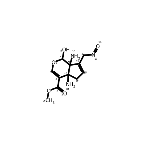 COC(=O)C1=COC(O)C2(N)C(CN=O)=CCC12N